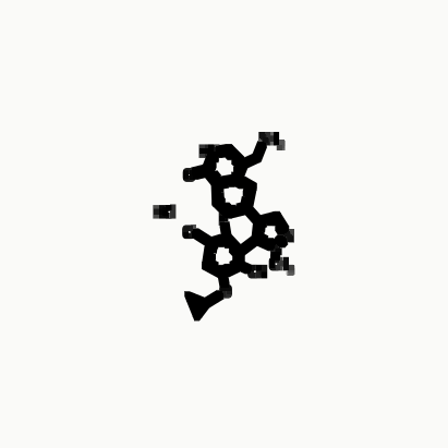 Cl.Cn1ncc(-c2ccc3c(=O)[nH]cc(CN)c3c2)c1-c1c(F)c(Cl)cc(OC2CC2)c1C#N